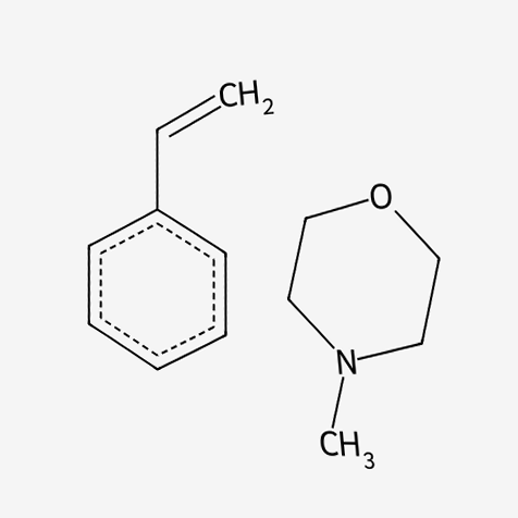 C=Cc1ccccc1.CN1CCOCC1